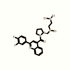 CCN(CC)CCN(CC)C[C@@H]1CCCN1C(=O)c1cc(-c2ccc(F)c(F)c2)nc2ccccc12